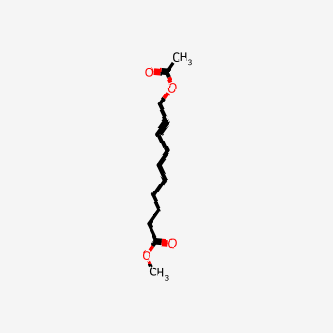 COC(=O)CCCCCCC=CCOC(C)=O